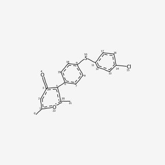 Cc1cc(=O)c(-c2ccc(Sc3ccc(Cl)cc3)cc2)c(C)o1